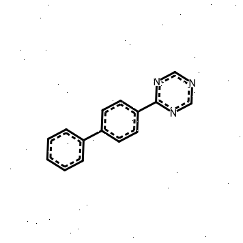 c1ccc(-c2ccc(-c3ncncn3)cc2)cc1